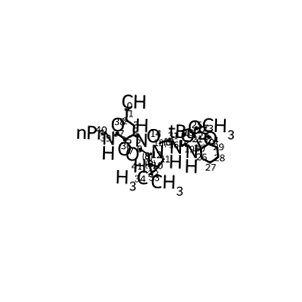 C#CCCC(NC(=O)[C@@H]1[C@@H]2C(CN1C(=O)[C@@H](NC(=O)NC1(CS(C)(=O)=O)CCCCC1)C(C)(C)C)C2(C)C)C(=O)C(=O)NCCC